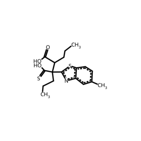 CCCC(C(=O)O)C(CCC)(C(O)=S)c1nc2cc(C)ccc2s1